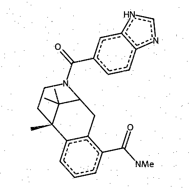 CNC(=O)c1cccc2c1CC1N(C(=O)c3ccc4nc[nH]c4c3)CC[C@]2(C)C1(C)C